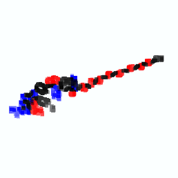 C#CCOCCOCCOCCOCCOCCOCCOCCOCCNC(=O)CC[C@H](NC(=O)c1ccc(N(Cc2cnc3nc(N)nc(O)c3n2)C(=O)C(F)(F)F)cc1)C(=O)OC